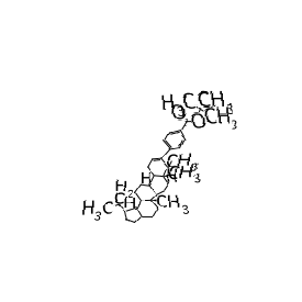 C=C(C)[C@@H]1CCC2CC[C@@]3(C)C4CC[C@@H]5C(CC=C(c6ccc(C(=O)OC(C)(C)C)cc6)C5(C)C)[C@H]4CCC3[C@H]21